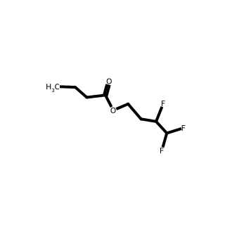 CCCC(=O)OCCC(F)C(F)F